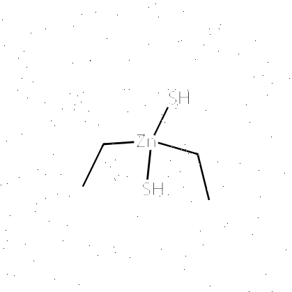 C[CH2][Zn]([SH])([SH])[CH2]C